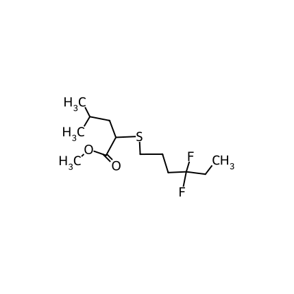 CCC(F)(F)CCCSC(CC(C)C)C(=O)OC